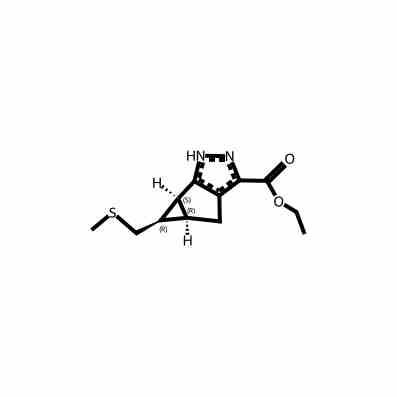 CCOC(=O)c1n[nH]c2c1C[C@H]1[C@@H](CSC)[C@@H]21